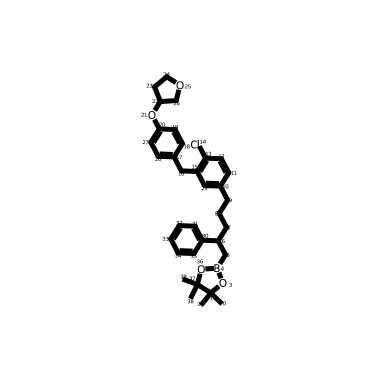 CC1(C)OB(CC(CCCc2ccc(Cl)c(Cc3ccc(OC4CCOC4)cc3)c2)c2ccccc2)OC1(C)C